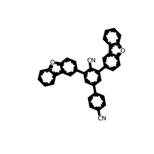 N#Cc1ccc(-c2cc(-c3ccc4oc5ccccc5c4c3)c(C#N)c(-c3ccc4oc5ccccc5c4c3)c2)cc1